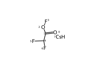 O=C(OF)C(F)F.[CsH]